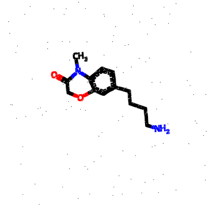 CN1C(=O)COc2cc(CCCCN)ccc21